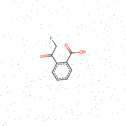 O=C(O)c1ccccc1C(=O)CF